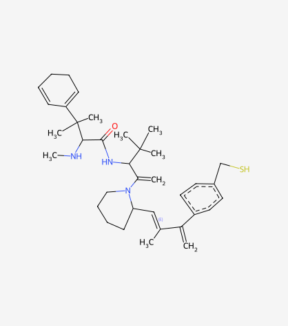 C=C(/C(C)=C/C1CCCCN1C(=C)C(NC(=O)C(NC)C(C)(C)C1=CCCC=C1)C(C)(C)C)c1ccc(CS)cc1